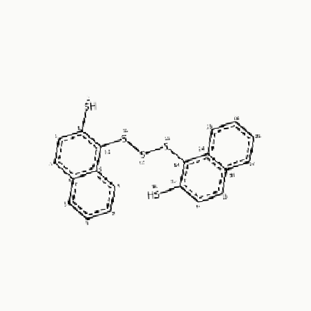 Sc1ccc2ccccc2c1SSSc1c(S)ccc2ccccc12